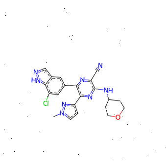 Cn1ccc(-c2nc(NC3CCOCC3)c(C#N)nc2-c2cc(Cl)c3[nH]ncc3c2)n1